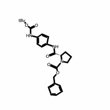 CC(C)(C)OC(=O)Nc1ccc(NC(=O)[C@@H]2CCCN2C(=O)OCc2ccccc2)cc1